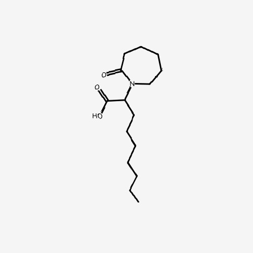 CCCCCCCC(C(=O)O)N1CCCCCC1=O